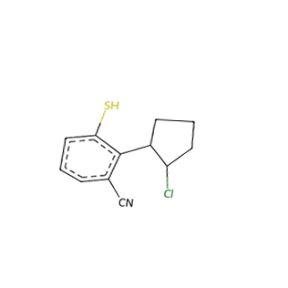 N#Cc1cccc(S)c1C1CCCC1Cl